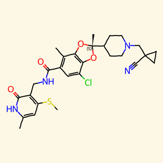 CSc1cc(C)[nH]c(=O)c1CNC(=O)c1cc(Cl)c2c(c1C)O[C@](C)(C1CCN(CC3(C#N)CC3)CC1)O2